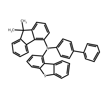 CC1(C)c2ccccc2-c2c(N(c3ccc(-c4ccccc4)cc3)c3cccc4sc5ccccc5c34)cccc21